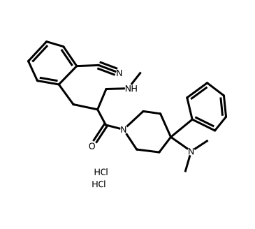 CNCC(Cc1ccccc1C#N)C(=O)N1CCC(c2ccccc2)(N(C)C)CC1.Cl.Cl